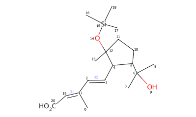 CC(/C=C/C1C(C(C)(C)O)CCC1(C)O[Si](C)(C)C)=C\C(=O)O